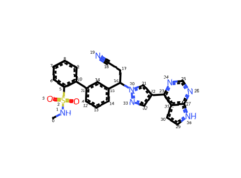 CNS(=O)(=O)c1ccccc1-c1cccc(C(CC#N)n2cc(-c3ncnc4[nH]ccc34)cn2)c1